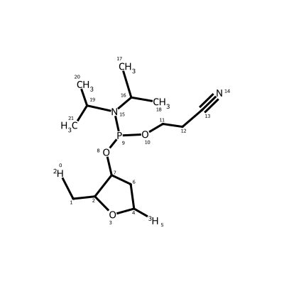 [2H]CC1OC([3H])CC1OP(OCCC#N)N(C(C)C)C(C)C